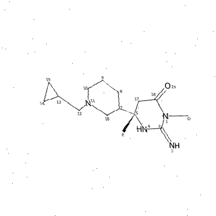 CN1C(=N)N[C@](C)(C2CCCN(CC3CC3)C2)CC1=O